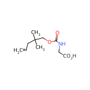 C=CCC(C)(C)COC(=O)NCC(=O)O